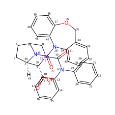 O=C(O)[C@@H]1[C@H]2CCC(CN1C(=O)N(c1ccccc1)c1ccccc1)N2C(=O)N1c2ccccc2COc2ccccc21